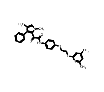 Cc1cc(C)nc(OCCOc2ccc(NC(=O)C(=O)c3c(-c4ccccc4)c(C)cn3C)cc2)c1